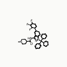 CN1CCC(C(=O)Nc2nn(C(c3ccccc3)(c3ccccc3)c3ccccc3)c3ccc(-c4ccc(F)c(F)c4F)cc23)CC1